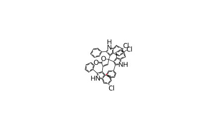 O=C1OC(c2c(-c3ccccc3)[nH]c3cc(Cl)ccc23)(c2c(-c3ccccc3)[nH]c3cc(Cl)ccc23)C=C1c1c(-c2ccccc2)[nH]c2cc(Cl)ccc12